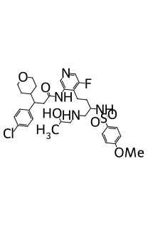 COc1ccc(S(=O)(=O)NC(CCc2c(F)cncc2NC(=O)CC(c2ccc(Cl)cc2)C2CCOCC2)CNCC(C)O)cc1